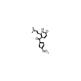 CN(C)C=Cc1[nH]c(=O)ccc1C(=O)c1ccc([N+](=O)[O-])cc1